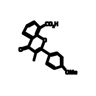 COc1ccc(-c2oc3c(C(=O)O)cccc3c(=O)c2C)cc1